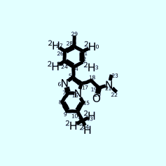 [2H]c1c([2H])c(-c2nc3ccc(C([2H])([2H])[2H])cn3c2CC(=O)N(C)C)c([2H])c([2H])c1C